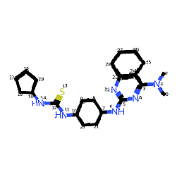 CN(C)c1nc(NC2CCC(NC(=S)NC3CCCC3)CC2)nc2c1CCCC2